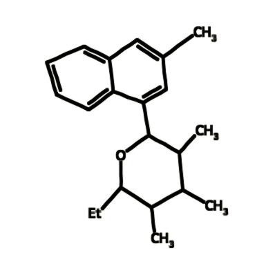 CCC1OC(c2cc(C)cc3ccccc23)C(C)C(C)C1C